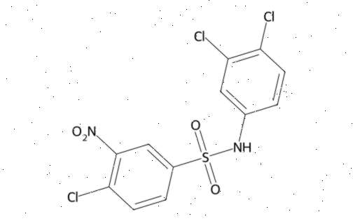 O=[N+]([O-])c1cc(S(=O)(=O)Nc2ccc(Cl)c(Cl)c2)ccc1Cl